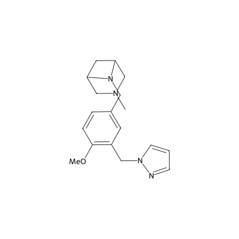 COc1ccc(CN2C3CC2CN(C)C3)cc1Cn1cccn1